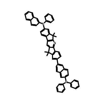 CC1(C)c2cc(-c3ccc4cc(N(c5ccccc5)c5ccccc5)ccc4c3)ccc2-c2nc3c(cc21)-c1ccc(N(c2ccccc2)c2ccc4ccccc4c2)cc1C3(C)C